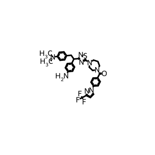 CN(C)c1ccc(CC(c2ccc(N)cc2)c2nsc(N3CCCN(C(=O)c4ccc(-n5ccc(C(F)(F)F)n5)cc4)CC3)n2)cc1